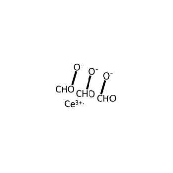 O=C[O-].O=C[O-].O=C[O-].[Ce+3]